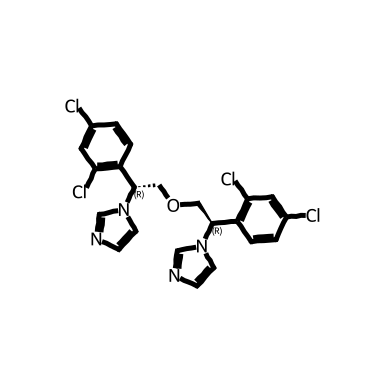 Clc1ccc([C@H](COC[C@@H](c2ccc(Cl)cc2Cl)n2ccnc2)n2ccnc2)c(Cl)c1